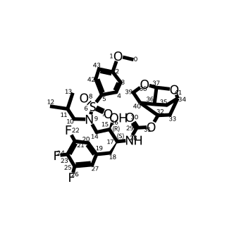 COc1ccc(S(=O)(=O)N(CC(C)C)C[C@@H](O)[C@H](Cc2cc(F)c(F)c(F)c2)NC(=O)OC2CC3CC4C(OCC24)O3)cc1